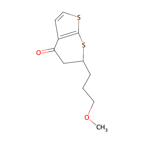 COCCCC1CC(=O)c2ccsc2S1